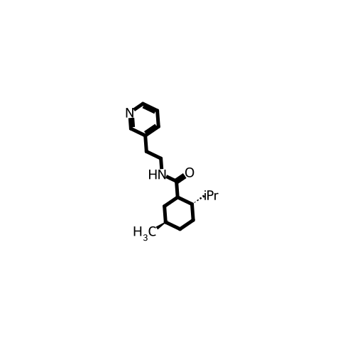 CC(C)[C@@H]1CC[C@@H](C)CC1C(=O)NCCc1cccnc1